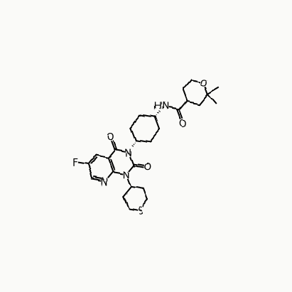 CC1(C)CC(C(=O)N[C@H]2CC[C@@H](n3c(=O)c4cc(F)cnc4n(C4CCSCC4)c3=O)CC2)CCO1